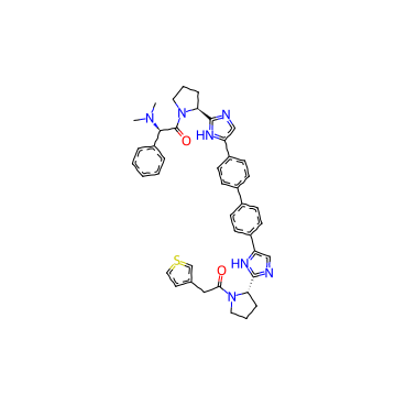 CN(C)[C@@H](C(=O)N1CCC[C@H]1c1ncc(-c2ccc(-c3ccc(-c4cnc([C@@H]5CCCN5C(=O)Cc5ccsc5)[nH]4)cc3)cc2)[nH]1)c1ccccc1